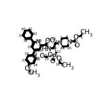 CCOC(=O)N1CCN(C(=O)[C@H](CP(=O)(OCC)OCC)NC(=O)c2cc(-c3ccc(OC)cc3)cc(-c3ccccc3)n2)CC1